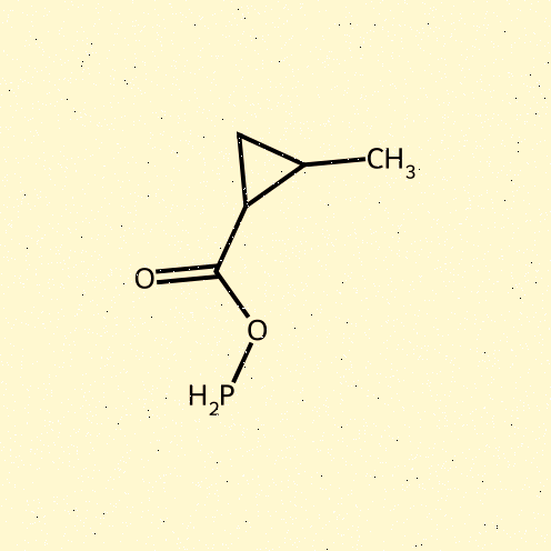 CC1CC1C(=O)OP